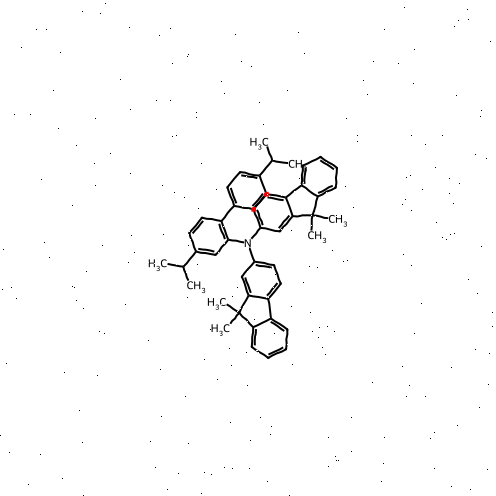 CC(C)c1ccc(-c2ccc(C(C)C)cc2N(c2ccc3c(c2)C(C)(C)c2ccccc2-3)c2ccc3c(c2)C(C)(C)c2ccccc2-3)cc1